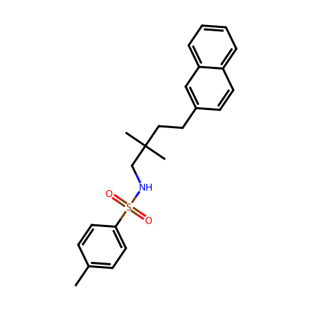 Cc1ccc(S(=O)(=O)NCC(C)(C)CCc2ccc3ccccc3c2)cc1